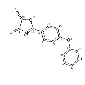 C=C1N=C(c2ccc(Oc3ccccc3)cc2)OC1=O